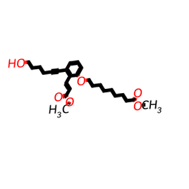 COC(=O)C=Cc1c(C#CCCCCO)cccc1OCCCCCCCCC(=O)OC